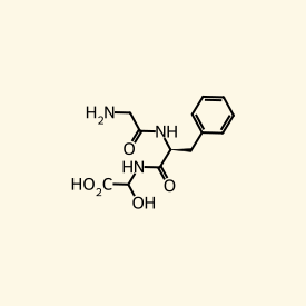 NCC(=O)N[C@@H](Cc1ccccc1)C(=O)NC(O)C(=O)O